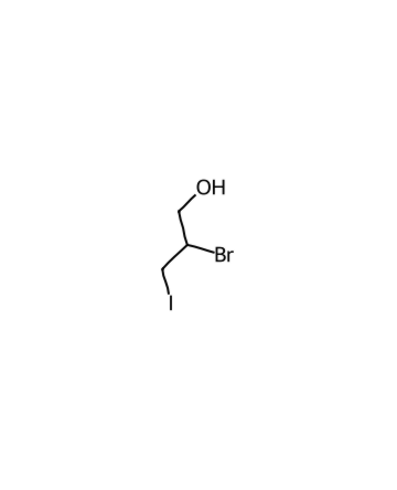 OCC(Br)CI